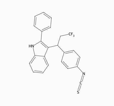 FC(F)(F)CC(c1ccc(N=C=S)cc1)c1c(-c2ccccc2)[nH]c2ccccc12